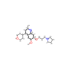 COc1cc2c(C3CCOCC3)cc(C)nc2cc1OCCCN1CCCC1